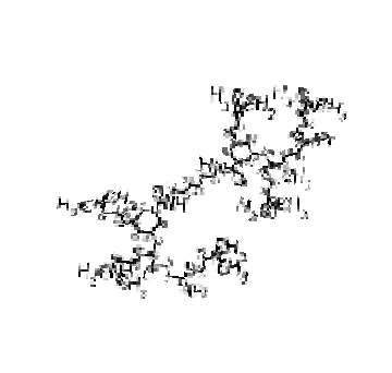 CC(C)C(CCC(C)C(CC1CC(SCCN(C)C)CC(C(=O)NCCCCCCNC(=O)C2CC(CC(SCCN(C)C)C(C)CCC(SCCN(C)C)C(C)C)CC(SCCN(C)C)C2)C1)SCCN(C)C)SCCN(C)C